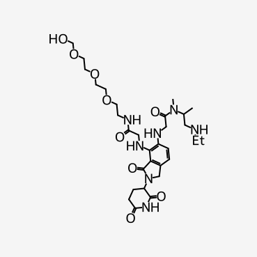 CCNCC(C)N(C)C(=O)CNc1ccc2c(c1NCC(=O)NCCOCCOCCOCO)C(=O)N(C1CCC(=O)NC1=O)C2